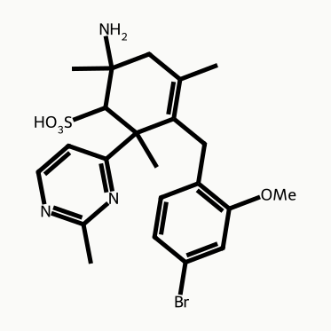 COc1cc(Br)ccc1CC1=C(C)CC(C)(N)C(S(=O)(=O)O)C1(C)c1ccnc(C)n1